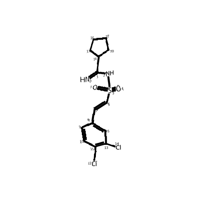 N=C(NS(=O)(=O)C=Cc1ccc(Cl)c(Cl)c1)C1CCCC1